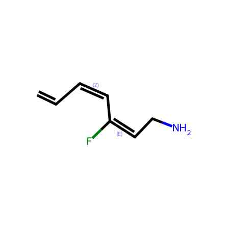 C=C/C=C\C(F)=C/CN